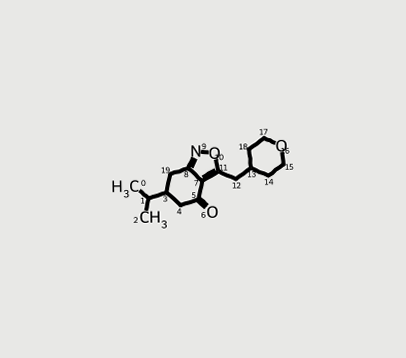 CC(C)C1CC(=O)c2c(noc2CC2CCOCC2)C1